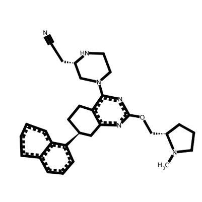 CN1CCC[C@H]1COc1nc2c(c(N3CCN[C@@H](CC#N)C3)n1)CC[C@H](c1cccc3ccccc13)C2